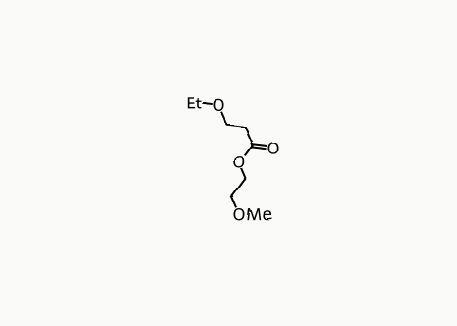 CCOCCC(=O)OCCOC